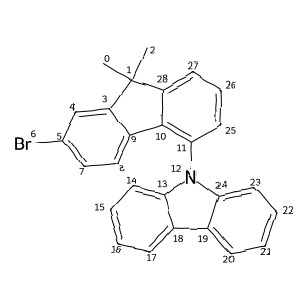 CC1(C)c2cc(Br)ccc2-c2c(-n3c4ccccc4c4ccccc43)cccc21